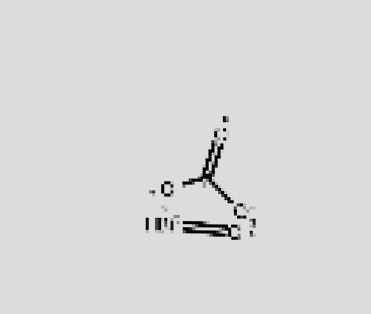 O=C([O-])[O-].[O]=[BiH+2]